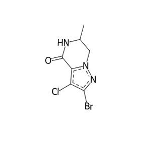 CC1Cn2nc(Br)c(Cl)c2C(=O)N1